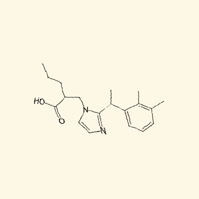 CCCC(Cn1ccnc1C(C)c1cccc(C)c1C)C(=O)O